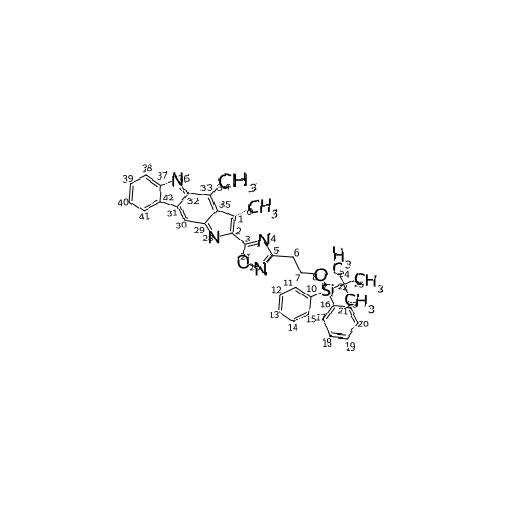 CC1=C(c2nc(CCO[Si](c3ccccc3)(c3ccccc3)C(C)(C)C)no2)N=c2cc3c(c(C)c21)=Nc1ccccc1-3